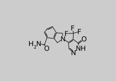 NC(=O)c1cccc2c1CN(c1cn[nH]c(=O)c1C(F)(F)F)C2